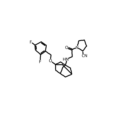 N#C[C@@H]1CCCN1C(=O)CNC12CC3CC(C1)CC(OCc1ccc(F)cc1F)(C3)C2